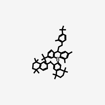 Cc1cc(C)c2c(c1)C(CCc1ccc(C(C)(C)C)cc1C)c1ccc(C(C)(C)C)cc1B2c1cc2c(cc1C(C)c1ccc3c(c1)C(C)(C)CCC3(C)C)C(C)(C)CCC2(C)C